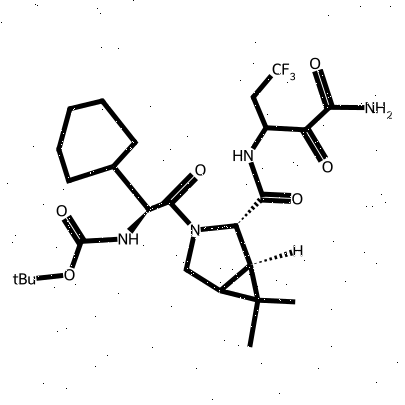 CC(C)(C)OC(=O)N[C@H](C(=O)N1CC2[C@@H]([C@H]1C(=O)NC(CC(F)(F)F)C(=O)C(N)=O)C2(C)C)C1CCCCC1